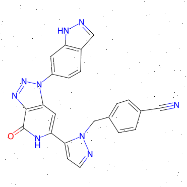 N#Cc1ccc(Cn2nccc2-c2cc3c(nnn3-c3ccc4cn[nH]c4c3)c(=O)[nH]2)cc1